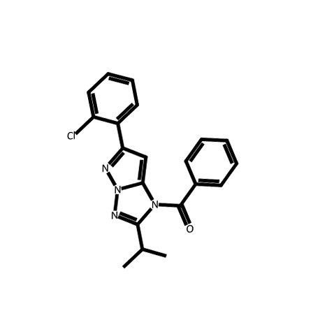 CC(C)c1nn2nc(-c3ccccc3Cl)cc2n1C(=O)c1ccccc1